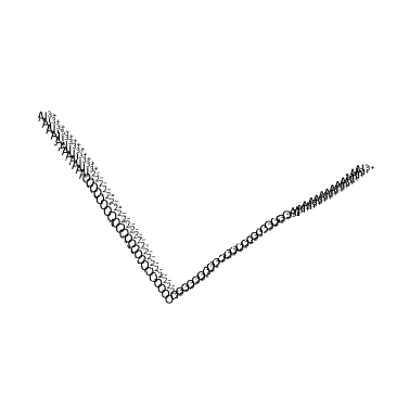 [Al+3].[Al+3].[Al+3].[Al+3].[Al+3].[Al+3].[Al+3].[Al+3].[Al+3].[Al+3].[Al+3].[Al+3].[Al+3].[Al+3].[Al+3].[Al+3].[Al+3].[Al+3].[Al+3].[Al+3].[Al+3].[Al+3].[Al+3].[Al+3].[Al+3].[O-2].[O-2].[O-2].[O-2].[O-2].[O-2].[O-2].[O-2].[O-2].[O-2].[O-2].[O-2].[O-2].[O-2].[O-2].[O-2].[O-2].[O-2].[O-2].[O-2].[O-2].[O-2].[O-2].[O-2].[O-2].[O-2].[O-2].[O-2].[O-2].[O-2].[O-2].[O-2].[O-2].[O-2].[O-2].[O-2].[O-2].[O-2].[O-2].[O-2].[O-2].[O-2].[O-2].[O-2].[O-2]